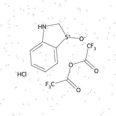 Cl.O=C(OC(=O)C(F)(F)F)C(F)(F)F.[O-][S+]1CNc2ccccc21